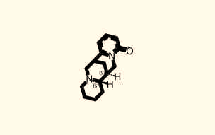 O=c1cccc2n1C[C@@H]1CC2CN2CCCC[C@@H]12